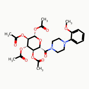 COc1ccccc1N1CCN(C(=O)[C@H]2O[C@@H](OC(C)=O)[C@H](OC(C)=O)[C@@H](OC(C)=O)[C@@H]2OC(C)=O)CC1